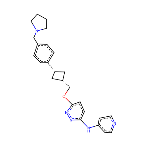 c1cc(Nc2ccc(OC[C@H]3C[C@@H](c4ccc(CN5CCCC5)cc4)C3)nn2)ccn1